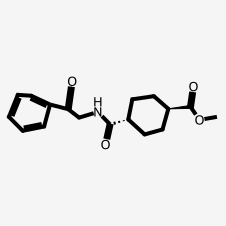 COC(=O)[C@H]1CC[C@H](C(=O)NCC(=O)c2ccccc2)CC1